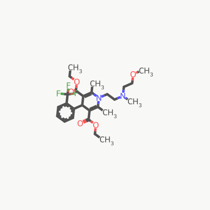 CCOC(=O)C1=C(C)N(CCN(C)CCOC)C(C)=C(C(=O)OCC)C1c1ccccc1C(F)(F)F